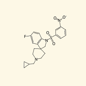 O=[N+]([O-])c1cccc(S(=O)(=O)N2CC3(CCN(CC4CC4)CC3)c3cc(F)ccc32)c1